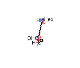 CCCCCCNC(=O)CCCCCCCCCCCON(C=O)C(=O)c1ccccc1C